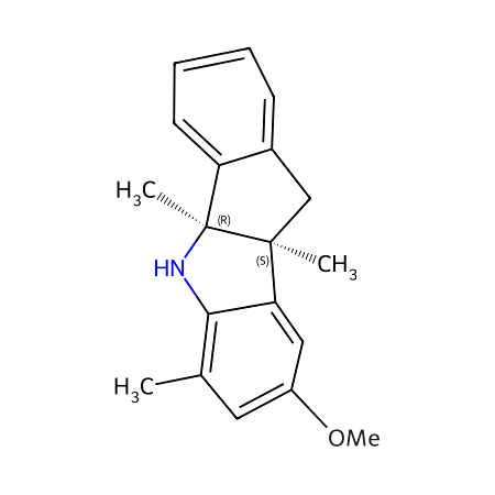 COc1cc(C)c2c(c1)[C@]1(C)Cc3ccccc3[C@]1(C)N2